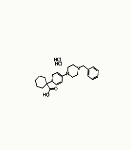 Cl.Cl.O=C(O)C1(c2ccc(N3CCN(Cc4ccccc4)CC3)cc2)CCCCC1